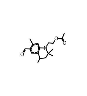 CC(=O)OCCN1c2cc(C)c(C=O)cc2C(C)CC1(C)C